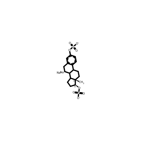 C[C@]12CCC3c4ccc(OS(=O)(=O)[O-])cc4CCC3C1CC[C@@H]2OS(=O)(=O)[O-].[Na+].[Na+]